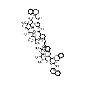 C[C@@H](C(=O)NC(C(=O)N1C[C@@H](NC(=O)c2ccc(/C=C/c3ccc(C[C@H](NC(=O)[C@H](C)N(C)C(=O)OC(C)(C)C)C(=O)N4Cc5ccccc5C[C@H]4C(=O)N[C@@H]4CCCc5ccccc54)cc3)cc2)C[C@H]1C(=O)N[C@@H]1CCCc2ccccc21)C(C)(C)C)N(C)C(=O)OC(C)(C)C